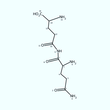 NC(=O)CCC(N)C(=O)NC(=O)CCC(N)C(=O)O